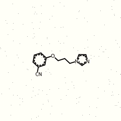 N#Cc1cccc(OCCCn2ccnc2)c1